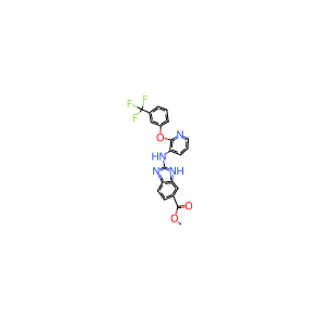 COC(=O)c1ccc2nc(Nc3cccnc3Oc3cccc(C(F)(F)F)c3)[nH]c2c1